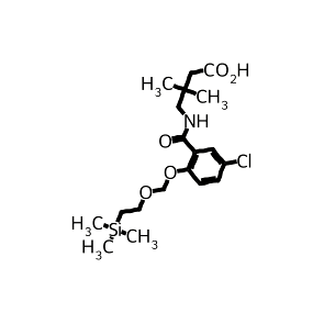 CC(C)(CNC(=O)c1cc(Cl)ccc1OCOCC[Si](C)(C)C)CC(=O)O